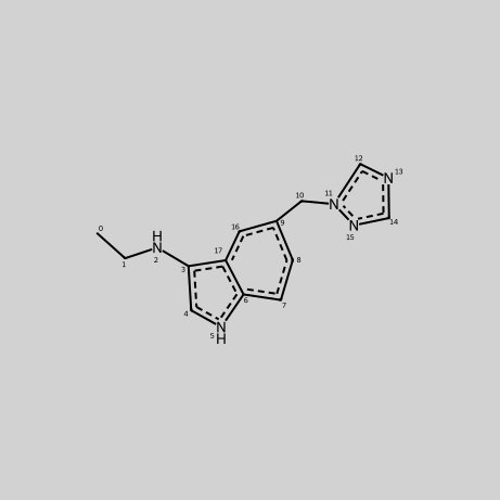 CCNc1c[nH]c2ccc(Cn3cncn3)cc12